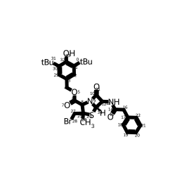 CC(C)(C)c1cc(COC(=O)C2N3C(=O)C(NC(=O)Cc4ccccc4)[C@@H]3SC2(C)CBr)cc(C(C)(C)C)c1O